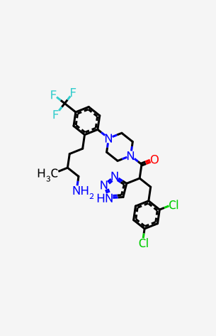 CC(CN)CCc1cc(C(F)(F)F)ccc1N1CCN(C(=O)C(Cc2ccc(Cl)cc2Cl)c2c[nH]nn2)CC1